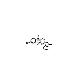 C=CCC1(c2cccs2)CCN([C@@H](C)c2ccc(Br)cc2)C(=O)O1